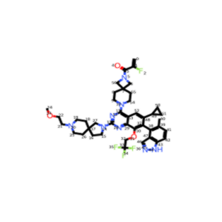 C=C(F)C(=O)N1CC2(CCN(c3nc(N4CCC5(CCN(CCOC)CC5)C4)nc4c(OCC(F)(F)F)c(-c5c(C)ccc6[nH]ncc56)c(C5CC5)cc34)CC2)C1